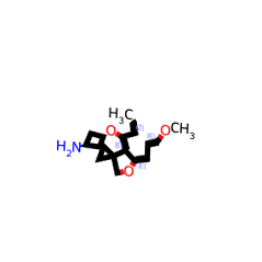 C\C=C/C(O[C@H]1C[C@@H](N)C1)=C1\C(=C/C=C/OC)OCC12CC2